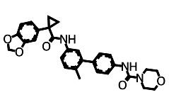 Cc1ccc(NC(=O)C2(c3ccc4c(c3)OCO4)CC2)cc1-c1ccc(NC(=O)N2CCOCC2)cc1